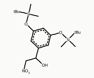 CC(C)(C)[Si](C)(C)Oc1cc(O[Si](C)(C)C(C)(C)C)cc(C(O)C[N+](=O)[O-])c1